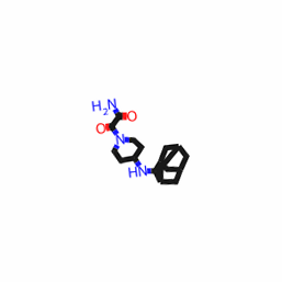 NC(=O)C(=O)N1CCC(NC2C3CC4CC(C3)CC2C4)CC1